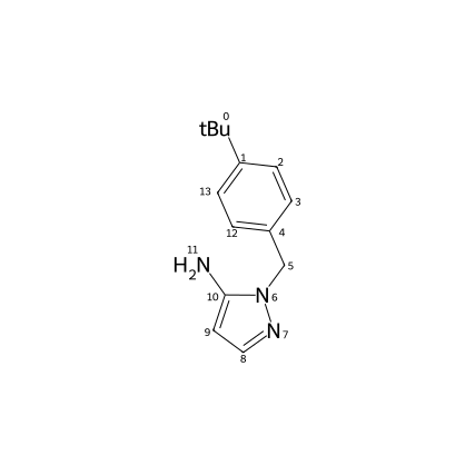 CC(C)(C)c1ccc(Cn2nccc2N)cc1